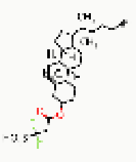 CC(C)CCC[C@@H](C)[C@H]1CC[C@H]2[C@@H]3CC=C4CC(OC(=O)CC(F)(F)S(=O)(=O)O)CC[C@]4(C)[C@H]3CC[C@]12C